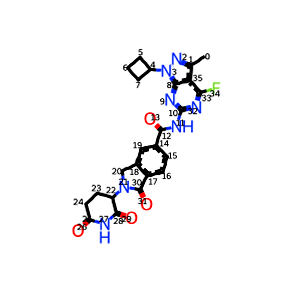 Cc1nn(C2CCC2)c2nc(NC(=O)c3ccc4c(c3)CN(C3CCC(=O)NC3=O)C4=O)nc(F)c12